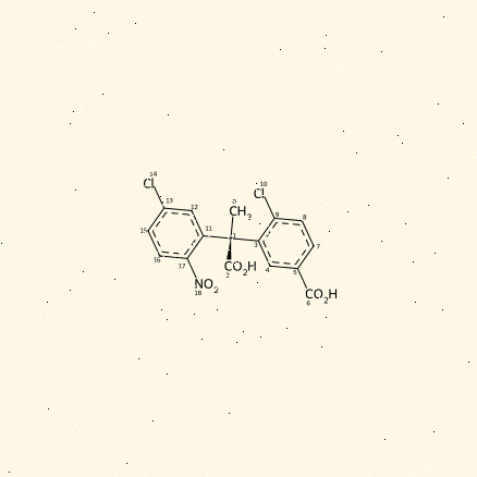 C[C@](C(=O)O)(c1cc(C(=O)O)ccc1Cl)c1cc(Cl)ccc1[N+](=O)[O-]